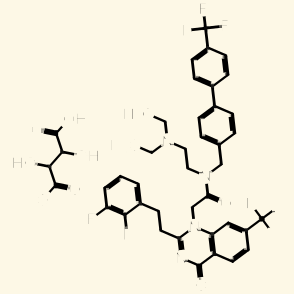 CCN(CC)CCN(Cc1ccc(-c2ccc(C(F)(F)F)cc2)cc1)C(=O)Cn1c(CCc2cccc(F)c2F)nc(=O)c2ccc(C(F)(F)F)cc21.O=C(O)C(O)C(O)C(=O)O